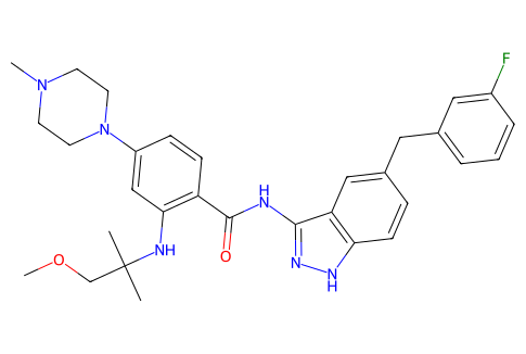 COCC(C)(C)Nc1cc(N2CCN(C)CC2)ccc1C(=O)Nc1n[nH]c2ccc(Cc3cccc(F)c3)cc12